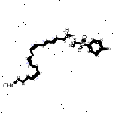 CC[C@H](C/C=C/C=C/C=C\C/C=C\C/C=C\CCCC=O)OC(C)S(=O)(=O)c1ccc(Br)cc1